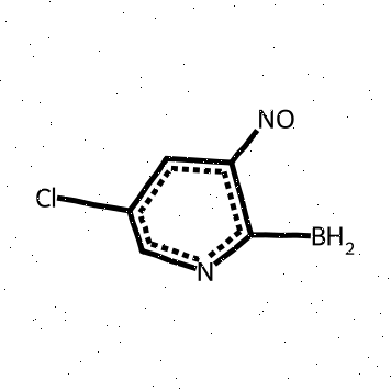 Bc1ncc(Cl)cc1N=O